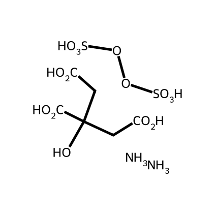 N.N.O=C(O)CC(O)(CC(=O)O)C(=O)O.O=S(=O)(O)OOS(=O)(=O)O